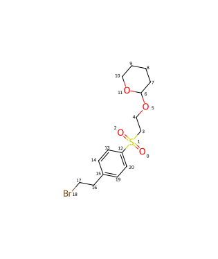 O=S(=O)(CCOC1CCCCO1)c1ccc(CCBr)cc1